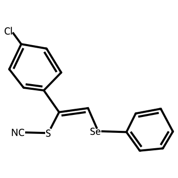 N#CSC(=C[Se]c1ccccc1)c1ccc(Cl)cc1